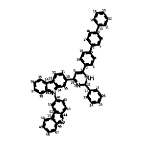 C1=C(c2ccc(-c3ccc(-c4ccccc4)cc3)cc2)NC(c2ccccc2)N=C1c1ccc2c3ccccc3n(-c3ccc4sc5ccccc5c4c3)c2c1